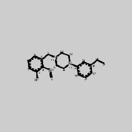 C=Nc1c(F)cccc1CN1CCN(c2cccc(CC)c2)CC1